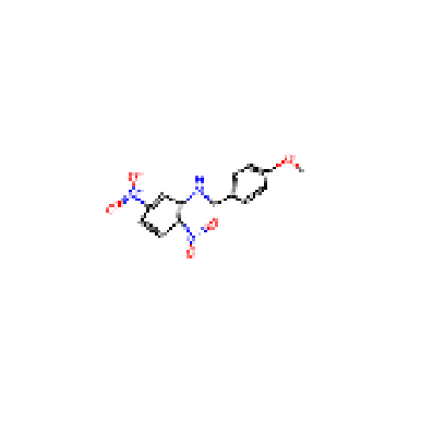 COc1ccc(CNc2cc([N+](=O)[O-])ccc2[N+](=O)[O-])cc1